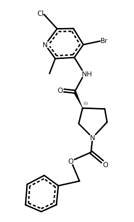 Cc1nc(Cl)cc(Br)c1NC(=O)[C@H]1CCN(C(=O)OCc2ccccc2)C1